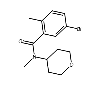 Cc1ccc(Br)cc1C(=O)N(C)C1CCOCC1